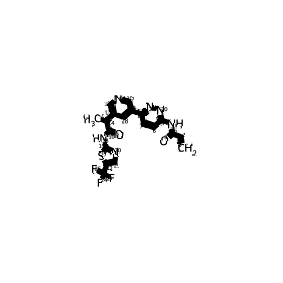 C=CC(=O)Nc1ccc(-c2cncc(C(C)C(=O)Nc3ncc(C(F)(F)F)s3)c2)nn1